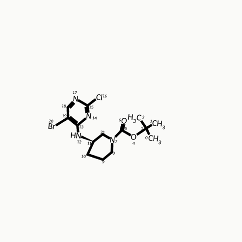 CC(C)(C)OC(=O)N1CCC[C@@H](Nc2nc(Cl)ncc2Br)C1